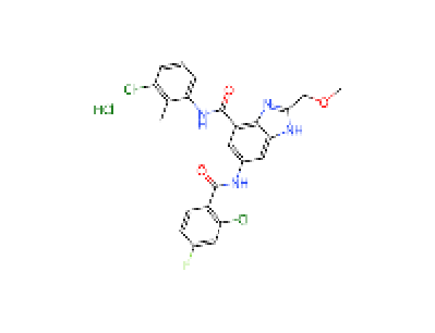 COCc1nc2c(C(=O)Nc3cccc(Cl)c3C)cc(NC(=O)c3ccc(F)cc3Cl)cc2[nH]1.Cl